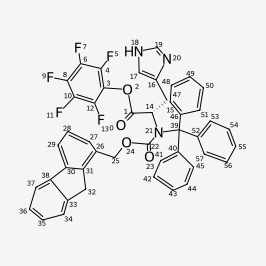 O=C(Oc1c(F)c(F)c(F)c(F)c1F)[C@H](Cc1c[nH]cn1)N(C(=O)OCc1cccc2c1Cc1ccccc1-2)C(c1ccccc1)(c1ccccc1)c1ccccc1